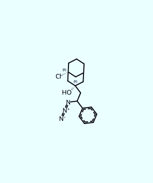 [N-]=[N+]=NC(C[C@]1(O)CC2CCC[C@@](Cl)(C2)C1)c1ccccc1